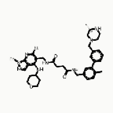 CCc1nc2c(cnn2CC)c(NC2CCOCC2)c1CNC(=O)CCC(=O)NCc1ccc(C)c(-c2cccc(CN3CCN[C@@H](C)C3)c2)c1